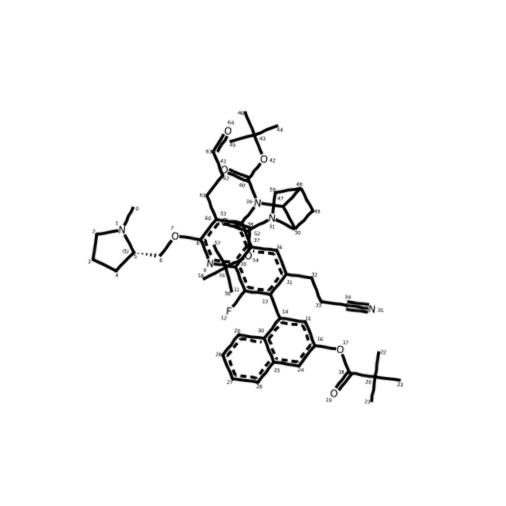 CN1CCC[C@H]1COc1nc2c(F)c(-c3cc(OC(=O)C(C)(C)C)cc4ccccc34)c(CCC#N)cc2c(N(C(=O)OC(C)(C)C)C2C3CC2N(C(=O)OC(C)(C)C)C3)c1CCC=O